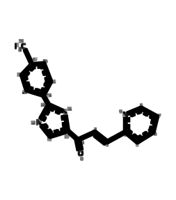 O=C(C=Cc1ccccn1)c1[c]nc(-c2ccc(C(F)(F)F)cc2)s1